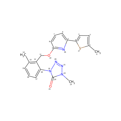 Cc1ccc(-c2cccc(OCc3c(C)cccc3-n3nnn(C)c3=O)n2)s1